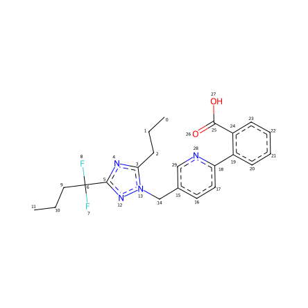 CCCc1nc(C(F)(F)CCC)nn1Cc1ccc(-c2ccccc2C(=O)O)nc1